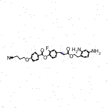 N#CCCCOc1ccc(C(=O)Oc2ccc(/C=C/C(=O)OCCc3ccc(N)cc3N)cc2F)cc1